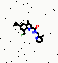 Cc1cccnc1CNC(=O)c1cc(C)c2cc(C3CC3)cc(CF)c2n1